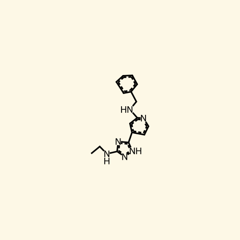 CCNc1n[nH]c(-c2ccnc(NCc3ccccc3)c2)n1